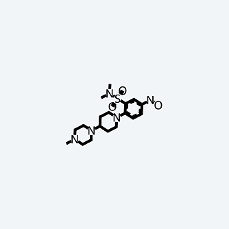 CN1CCN(C2CCN(c3ccc(N=O)cc3S(=O)(=O)N(C)C)CC2)CC1